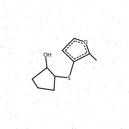 Cc1occc1SC1CCCC1O